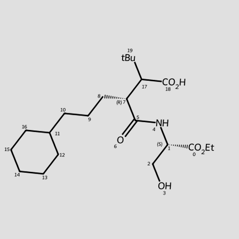 CCOC(=O)[C@H](CO)NC(=O)[C@H](CCCC1CCCCC1)C(C(=O)O)C(C)(C)C